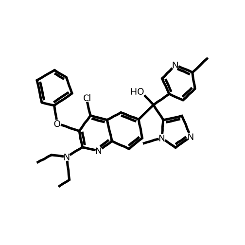 CCN(CC)c1nc2ccc(C(O)(c3ccc(C)nc3)c3cncn3C)cc2c(Cl)c1Oc1ccccc1